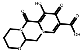 O=C(O)c1cn2c(c(O)c1=O)C(=O)N1CCCOC1C2